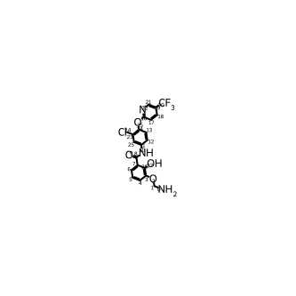 NCOc1cccc(C(=O)Nc2ccc(Oc3ccc(C(F)(F)F)cn3)c(Cl)c2)c1O